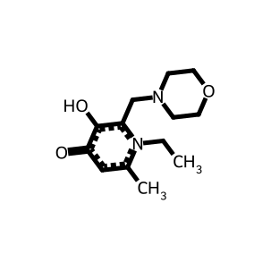 CCn1c(C)cc(=O)c(O)c1CN1CCOCC1